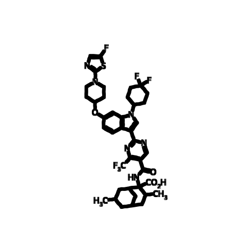 CC1CC2CC(C)C(NC(=O)c3cnc(-c4cn(C5CCC(F)(F)CC5)c5cc(OC6CCN(c7ncc(F)s7)CC6)ccc45)nc3C(F)(F)F)(C(=O)O)C(C1)C2